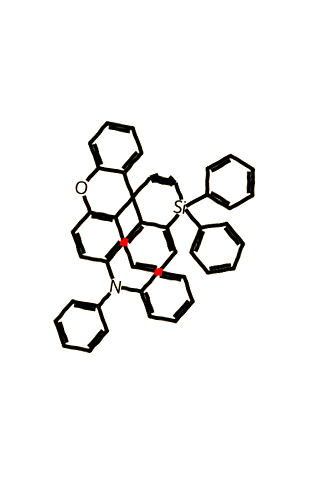 c1ccc(N(c2ccccc2)c2ccc3c(c2)C2(c4ccccc4O3)c3ccccc3[Si](c3ccccc3)(c3ccccc3)c3ccccc32)cc1